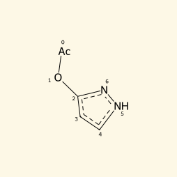 CC(=O)Oc1cc[nH]n1